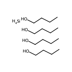 CCCCO.CCCCO.CCCCO.CCCCO.[SiH4]